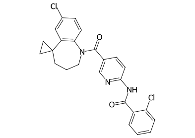 O=C(Nc1ccc(C(=O)N2CCCC3(CC3)c3cc(Cl)ccc32)cn1)c1ccccc1Cl